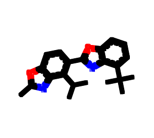 Cc1nc2c(C(C)C)c(-c3nc4c(C(C)(C)C)cccc4o3)ccc2o1